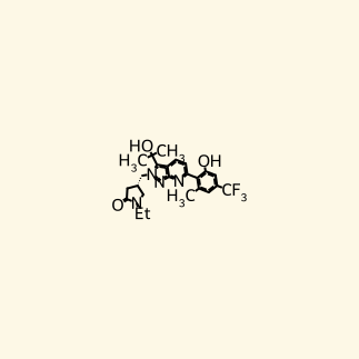 CCN1C[C@@H](Cn2nc3nc(-c4c(C)cc(C(F)(F)F)cc4O)ccc3c2C(C)(C)O)CC1=O